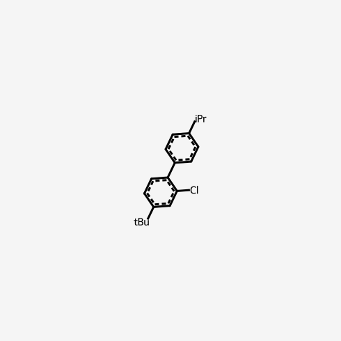 CC(C)c1ccc(-c2ccc(C(C)(C)C)cc2Cl)cc1